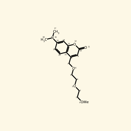 COCCOCCOCc1cc(=O)oc2cc(N(C)C)ccc12